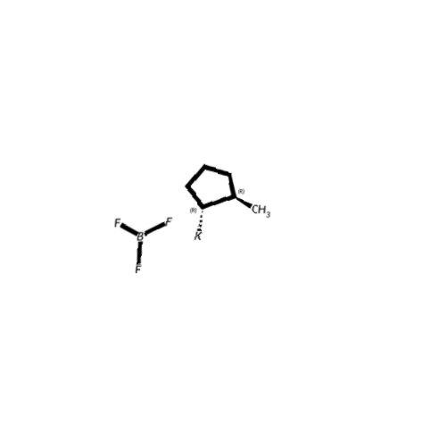 C[C@@H]1CCC[C@H]1[K].FB(F)F